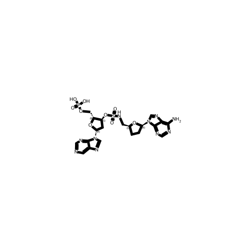 Nc1ncnc2c1ncn2[C@H]1CC[C@@H](CNS(=O)(=O)O[C@H]2C[C@H](n3cnc4cncnc43)O[C@@H]2COP(=O)(O)O)O1